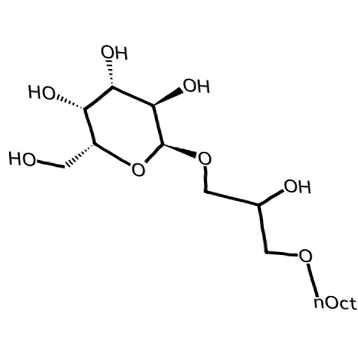 CCCCCCCCOCC(O)CO[C@H]1O[C@H](CO)[C@H](O)[C@H](O)[C@H]1O